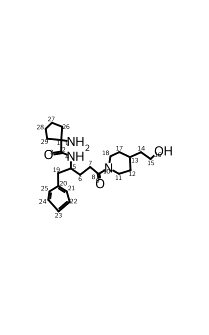 NC1(C(=O)NC(CCC(=O)N2CCC(CCO)CC2)Cc2ccccc2)CCCC1